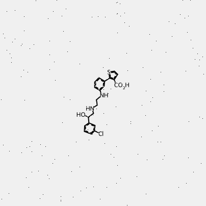 O=C(O)c1ccsc1-c1cccc(NCCNC[C@H](O)c2cccc(Cl)c2)c1